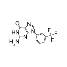 Nc1nc2c(ncn2-c2cccc(C(F)(F)F)c2)c(=O)[nH]1